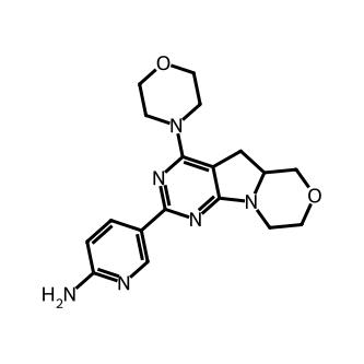 Nc1ccc(-c2nc(N3CCOCC3)c3c(n2)N2CCOCC2C3)cn1